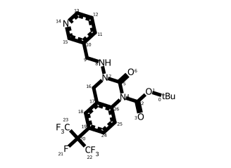 CC(C)(C)OC(=O)N1C(=O)N(NCc2cccnc2)Cc2cc(C(F)(C(F)(F)F)C(F)(F)F)ccc21